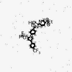 CCS(=O)(=O)c1ccc([C@H](CO)NC(=O)c2ccc(N3CC(c4ccc(C(F)(F)F)cc4)C[C@@H]3COC(F)F)cc2)nc1